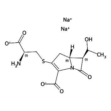 CC(O)[C@H]1C(=O)N2C(C(=O)[O-])=C(SC[C@@H](N)C(=O)[O-])C[C@H]12.[Na+].[Na+]